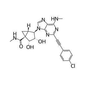 CNC(=O)[C@@]12C[C@@H]1[C@@H](n1cnc3c(NC)nc(C#Cc4ccc(Cl)cc4)nc31)[C@H](O)[C@@H]2O